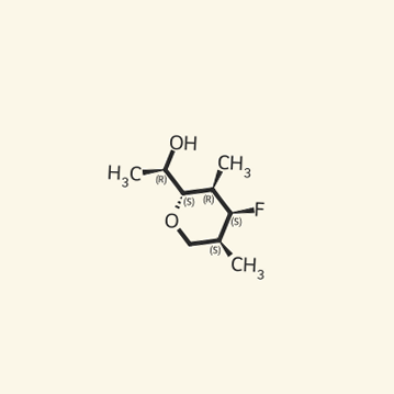 C[C@H]1[C@@H](F)[C@@H](C)CO[C@@H]1[C@@H](C)O